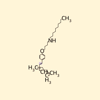 C=C[C@@](C)(/C=C/c1ccc(OCCCCNCCCCCCCCCC)cc1)CCC=C(C)C